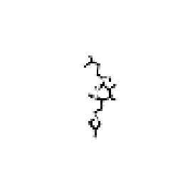 C/C(C(=N)CCN1CC(C)C1)=C(\C)C(=O)NCCC(C)C